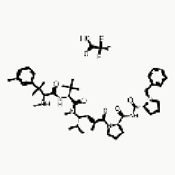 CN[C@H](C(=O)N[C@H](C(=O)N(C)[C@H](/C=C(\C)C(=O)N1CCC[C@@H]1C(=O)NC(=O)[C@H]1CCCN1Cc1ccccc1)C(C)C)C(C)(C)C)C(C)(C)c1cccc(C)c1.O=C(O)C(F)(F)F